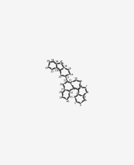 c1ccc2c(c1)ccc1ccc3c(-c4ccc5sc6ccccc6c5c4)cc4ccccc4c3c12